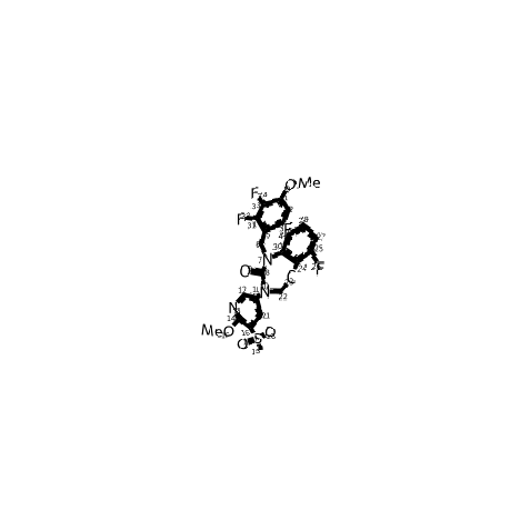 COc1cc(F)c(CN2C(=O)N(c3cnc(OC)c(S(C)(=O)=O)c3)CCc3c(F)cccc32)c(F)c1F